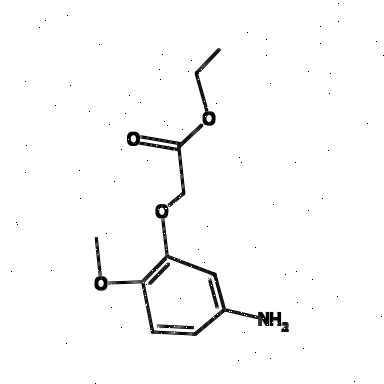 CCOC(=O)COc1cc(N)ccc1OC